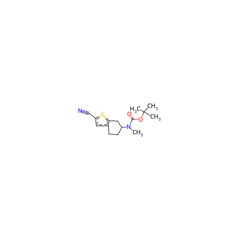 CN(C(=O)OC(C)(C)C)C1CCc2cc(C#N)sc2C1